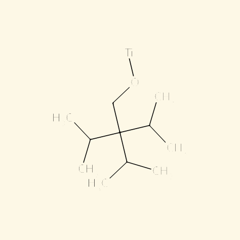 CC(C)C(C[O][Ti])(C(C)C)C(C)C